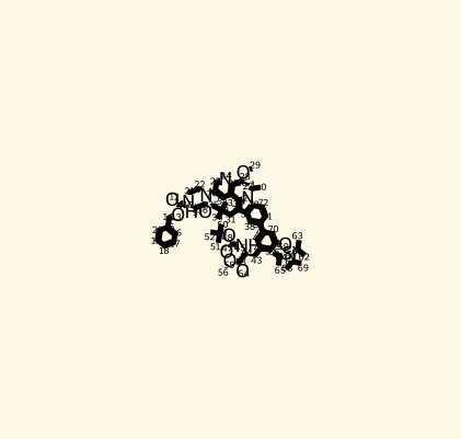 CCn1c(-c2cc(N3CCN(C(=O)OCc4ccccc4)CC3)cnc2[C@H](C)OC)c(CC(C)(C)CO)c2cc(-c3cc(C[C@H](NC(=O)OC(C)(C)C)C(=O)OC)cc(O[Si](C(C)C)(C(C)C)C(C)C)c3)ccc21